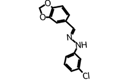 Clc1cccc(NN=Cc2ccc3c(c2)OCO3)c1